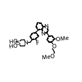 COCCOc1ccc(-c2cnc3cccc(-c4ccc(CN5CCS(O)(O)CC5)c(F)c4)c3n2)cc1OC